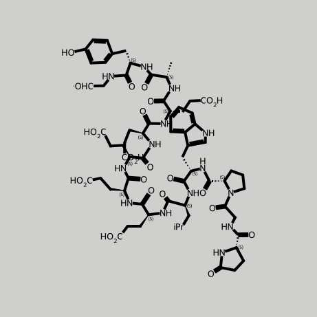 CC(C)C[C@H](NC(=O)[C@H](Cc1c[nH]c2ccccc12)NC(=O)[C@@H]1CCCN1C(=O)CNC(=O)[C@@H]1CCC(=O)N1)C(=O)N[C@@H](CCC(=O)O)C(=O)N[C@@H](CCC(=O)O)C(=O)N[C@@H](CCC(=O)O)C(=O)N[C@@H](CCC(=O)O)C(=O)N[C@@H](CCC(=O)O)C(=O)N[C@@H](C)C(=O)N[C@@H](Cc1ccc(O)cc1)C(=O)NC[C]=O